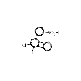 Clc1ccc2c(c1I)-c1ccccc1-2.O=S(=O)(O)c1ccccc1